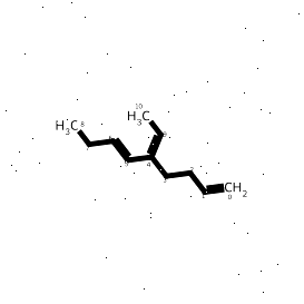 C=CCCC(C=CCC)=CC